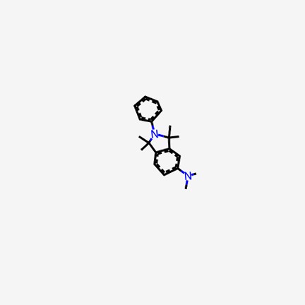 CN(C)c1ccc2c(c1)C(C)(C)N(c1ccccc1)C2(C)C